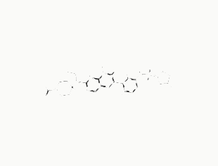 CCN(c1ncc2cc(-c3c(F)ccc(NS(=O)(=O)N4CC[C@@H](F)C4)c3F)c(=O)n(C)c2n1)C1(O)CCN(C(C)=O)CC1